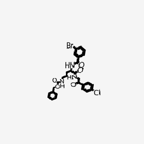 O=C(NCCCC(NC(=O)c1cccc(Br)c1)C(=O)NCC(=O)c1ccc(Cl)cc1)OCc1ccccc1